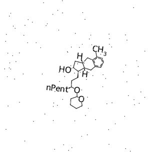 CCCCC[C@@H](CC[C@@H]1[C@H]2Cc3cccc(C)c3C[C@H]2C[C@H]1O)OC1CCCCO1